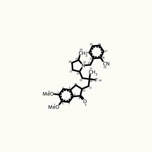 COc1cc2c(cc1OC)C(=O)C(CC(C)(F)CC1CCC(C)N1Cc1ccccc1C#N)C2